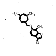 CCc1coc2c(C)c(OCC3=CC=C(C)C=C(C)C3)ccc12